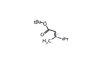 C/C(=C\C(=O)OC(C)(C)C)C(C)C